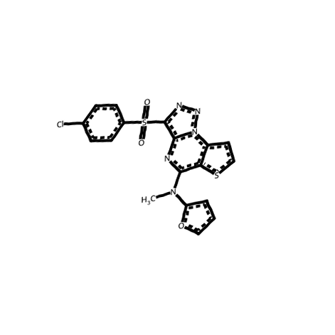 CN(c1ccco1)c1nc2c(S(=O)(=O)c3ccc(Cl)cc3)nnn2c2ccsc12